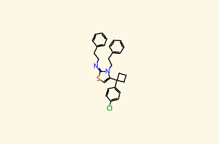 Clc1ccc(C2(c3csc(=NCCc4ccccc4)n3CCc3ccccc3)CCC2)cc1